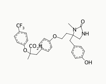 CN1C(=O)NCC1(CCOc1ccc(CC(C)(Oc2ccc(C(F)(F)F)cc2)C(=O)O)cc1)Cc1ccc(O)cc1